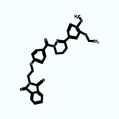 CCOc1cc(C2=NN(C(=O)c3ccc(OCCN4C(=O)c5ccccc5C4=O)cc3)CCC2)ccc1OC